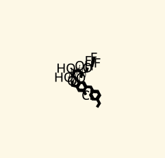 CCc1ccc(Cc2cc3c(cc2Cl)CO[C@]32O[C@H](COCC(F)(F)F)[C@@H](O)[C@H](O)[C@H]2O)cc1